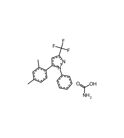 Cc1ccc(-c2cc(C(F)(F)F)nn2-c2ccccc2)c(C)c1.NC(=O)O